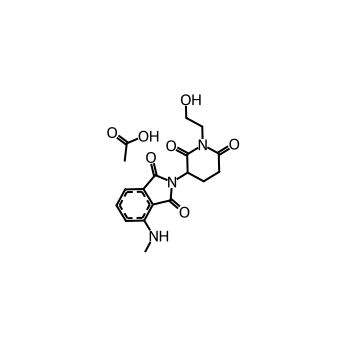 CC(=O)O.CNc1cccc2c1C(=O)N(C1CCC(=O)N(CCO)C1=O)C2=O